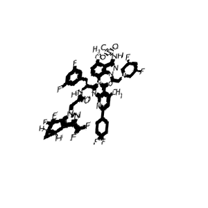 Cc1cc(C2CCC(F)(F)CC2)nc2nc([C@H](Cc3cc(F)cc(F)c3)NC(=O)Cn3nc(C(F)F)c4c3C(F)(F)[C@@H]3C[C@H]43)n(-c3ccc(Cl)c4c(NS(C)(=O)=O)nn(CCN5C[C@H](F)C[C@H](F)C5)c34)c(=O)c12